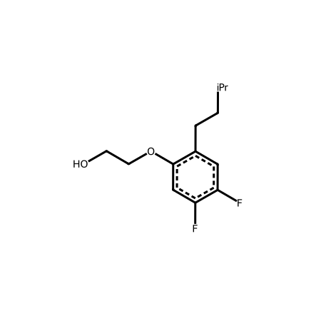 CC(C)CCc1cc(F)c(F)cc1OCCO